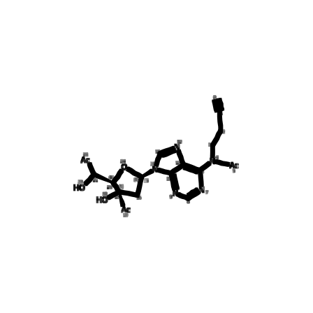 C#CCCN(C(C)=O)c1ncnc2c1ncn2[C@H]1C[C@@](O)(C(C)=O)[C@@H](C(O)C(C)=O)O1